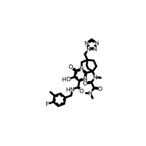 Cc1cc(CNC(=O)c2nc3n(c(=O)c2O)CC2(Cn4ncnn4)CCC3(N(C)C(=O)C(=O)N(C)C)CC2)ccc1F